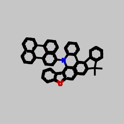 CC1(C)c2ccccc2-c2c(-c3ccccc3N(c3ccc(-c4cccc5cccc(-c6ccccc6)c45)cc3)c3cccc4oc5ccccc5c34)cccc21